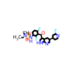 CCN(C)S(=O)(=O)Nc1ccc(F)c(C(=O)c2c[nH]c3ncc(-c4ccnc(F)c4)cc23)c1F